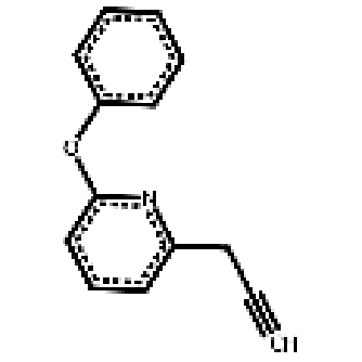 C#CCc1cccc(Oc2ccccc2)n1